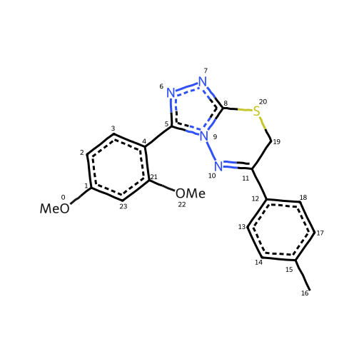 COc1ccc(-c2nnc3n2N=C(c2ccc(C)cc2)CS3)c(OC)c1